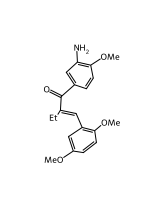 CC/C(=C\c1cc(OC)ccc1OC)C(=O)c1ccc(OC)c(N)c1